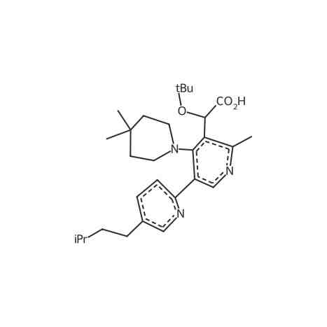 Cc1ncc(-c2ccc(CCC(C)C)cn2)c(N2CCC(C)(C)CC2)c1C(OC(C)(C)C)C(=O)O